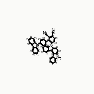 Cn1c2ccccc2c2c3c4ccccc4n(-c4ccc(C#N)c(C#N)c4-c4ccc(-n5c6ccccc6c6ccccc65)cc4)c3ccc21